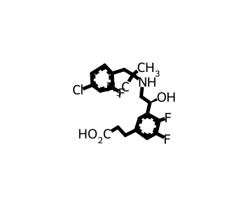 CC(C)(Cc1ccc(Cl)cc1F)NC[C@@H](O)c1cc(CCC(=O)O)cc(F)c1F